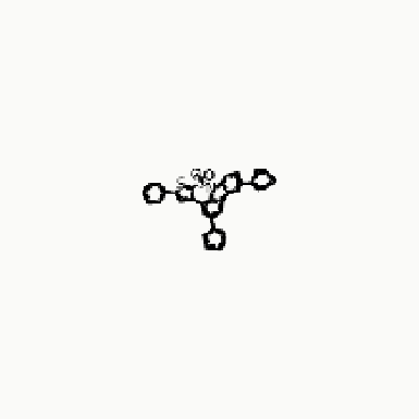 O=S1(=O)c2sc(-c3ccccc3)cc2-c2cc(-c3ccccc3)cc3c4cc(-c5ccccc5)ccc4n1c23